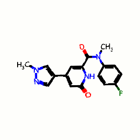 CN(C(=O)c1cc(-c2cnn(C)c2)cc(=O)[nH]1)c1ccc(F)cc1